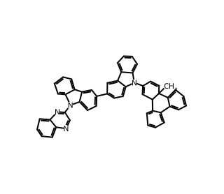 CC12C=CC(n3c4ccccc4c4cc(-c5ccc6c(c5)c5ccccc5n6-c5cnc6ccccc6n5)ccc43)=CC1c1ccccc1-c1ccccc12